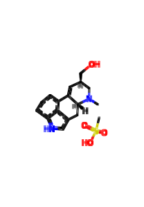 CN1C[C@H](CO)C=C2c3cccc4[nH]cc(c34)C[C@H]21.CS(=O)(=O)O